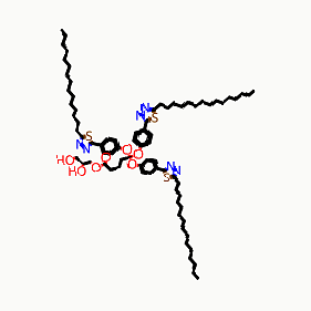 CCCCCCCCCCCCCCCc1nnc(-c2ccc(OC(CCCC(=O)OCC(O)CO)(Oc3ccc(-c4nnc(CCCCCCCCCCCCCCC)s4)cc3)Oc3ccc(-c4nnc(CCCCCCCCCCCCCCC)s4)cc3)cc2)s1